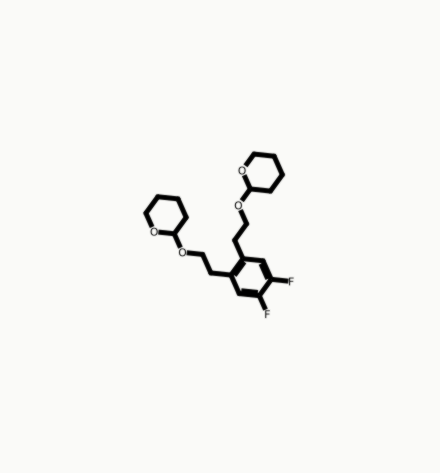 Fc1cc(CCOC2CCCCO2)c(CCOC2CCCCO2)cc1F